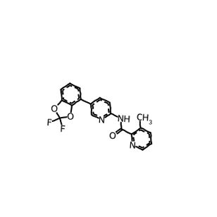 Cc1cccnc1C(=O)Nc1ccc(-c2cccc3c2OC(F)(F)O3)cn1